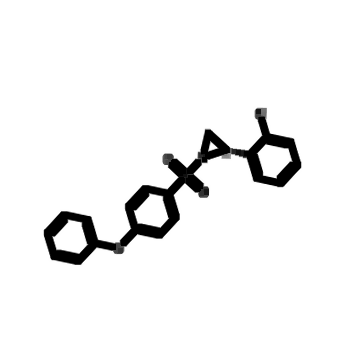 O=S(=O)(c1ccc(Oc2ccccc2)cc1)N1C[C@@H]1c1ccccc1Cl